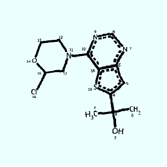 CC(C)(O)c1cc2ncnc(N3CCOC(Cl)C3)c2s1